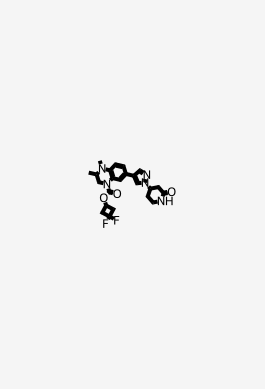 CC1CN(C(=O)OC2CC(F)(F)C2)c2cc(-c3cnn(C4CCNC(=O)C4)c3)ccc2N1C